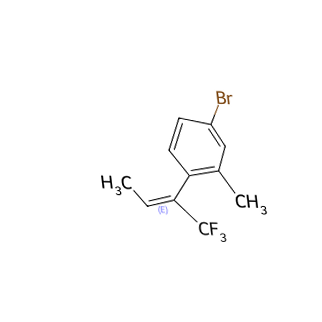 C/C=C(\c1ccc(Br)cc1C)C(F)(F)F